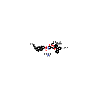 CCN(CC)CC.COc1ccc(C(OCCC(OC(=O)CCC(=O)O)C2CCN(C(=O)O[C@H]3CC[C@@]4(C)C(=CC[C@H]5[C@@H]6CC[C@H]([C@H](C)CCCC(C)C)[C@@]6(C)CC[C@@H]54)C3)CC2)(c2ccccc2)c2ccc(OC)cc2)cc1